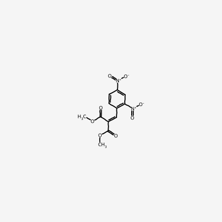 COC(=O)C(=Cc1ccc([N+](=O)[O-])cc1[N+](=O)[O-])C(=O)OC